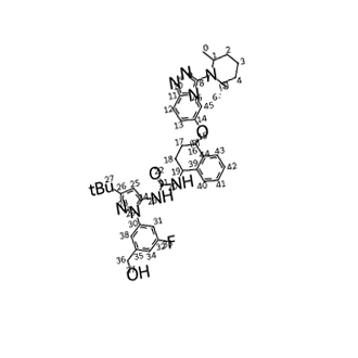 CC1CCC[C@H](C)N1c1nnc2ccc(O[C@@H]3CCC(NC(=O)Nc4cc(C(C)(C)C)nn4-c4cc(F)cc(CO)c4)c4ccccc43)cn12